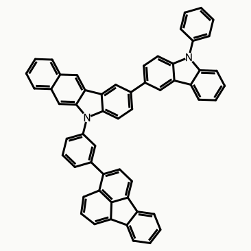 c1ccc(-n2c3ccccc3c3cc(-c4ccc5c(c4)c4cc6ccccc6cc4n5-c4cccc(-c5ccc6c7c(cccc57)-c5ccccc5-6)c4)ccc32)cc1